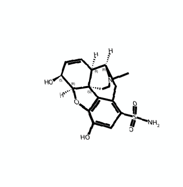 CN1CC[C@]23c4c5c(S(N)(=O)=O)cc(O)c4O[C@H]2[C@@H](O)C=C[C@H]3[C@H]1C5